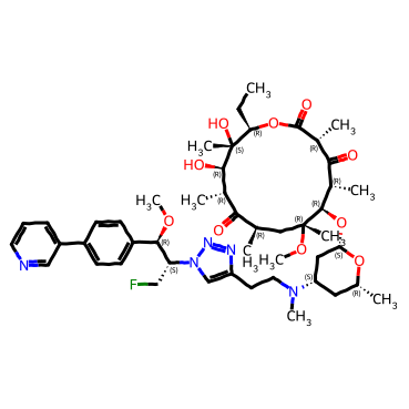 CC[C@H]1OC(=O)[C@H](C)C(=O)[C@H](C)[C@@H](O[C@H]2C[C@@H](N(C)CCc3cn([C@H](CF)[C@H](OC)c4ccc(-c5cccnc5)cc4)nn3)C[C@@H](C)O2)[C@](C)(OC)C[C@@H](C)C(=O)[C@H](C)[C@@H](O)[C@]1(C)O